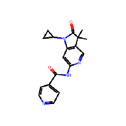 CC1(C)C(=O)N(C2CC2)c2cc(NC(=O)c3ccncc3)ncc21